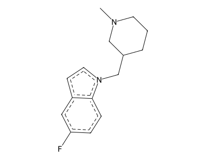 CN1CCCC(Cn2ccc3cc(F)ccc32)C1